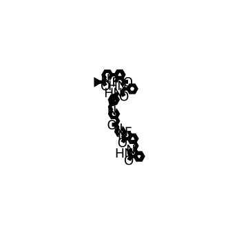 O=C(N[C@@H](C(=O)NC12CCC(CN3CCC(CC(=O)N4CCN(C(=O)c5cc(Cc6n[nH]c(=O)c7ccccc67)ccc5F)CC4)CC3)(CC1)OC2)C1CCCCC1)c1cccc(C2CCCN(C(=O)C3CC3)C2)c1F